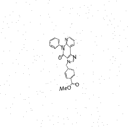 COC(=O)c1ccc(Cn2cnc3c4cccnc4n(-c4ccccc4)c(=O)c32)cc1